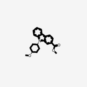 COC(=O)c1ccc2c3ccccc3n([C@H]3CC[C@@H](OC)CC3)c2c1